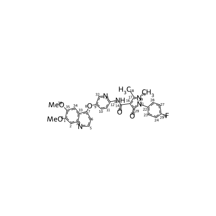 COc1cc2nccc(Oc3ccc(NC(=O)c4c(C)n(C)n(-c5ccc(F)cc5)c4=O)nc3)c2cc1OC